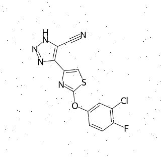 N#Cc1[nH]nnc1-c1csc(Oc2ccc(F)c(Cl)c2)n1